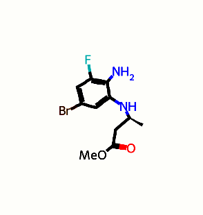 COC(=O)C[C@H](C)Nc1cc(Br)cc(F)c1N